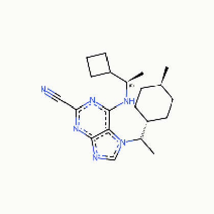 CC([C@H]1CC[C@H](C)CC1)n1cnc2nc(C#N)nc(N[C@H](C)C3CCC3)c21